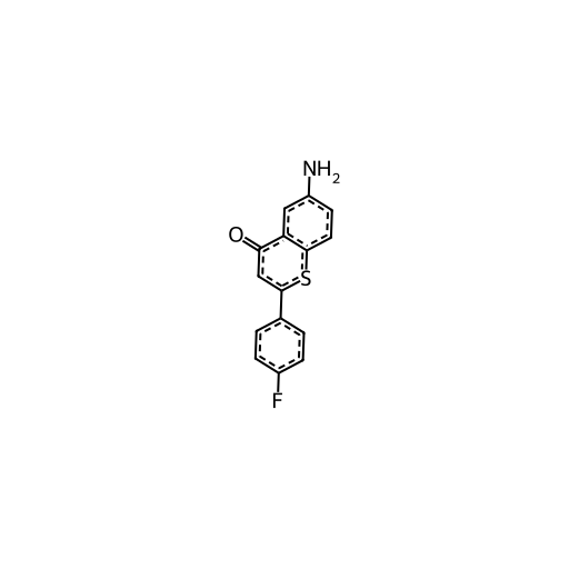 Nc1ccc2sc(-c3ccc(F)cc3)cc(=O)c2c1